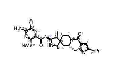 CCCc1cc(C(=O)N2CCC3(CC2)CN/C(=N\C(=O)c2nc(Cl)c(N)nc2NC)N3)n(C)n1